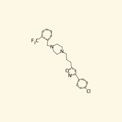 FC(F)(F)c1ccccc1CN1CCN(CCCc2cc(-c3ccc(Cl)cc3)no2)CC1